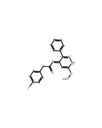 CCCCCCCCOc1cc(=NC(=O)Cc2ccc(F)cc2)c(-c2ccccc2)n[nH]1